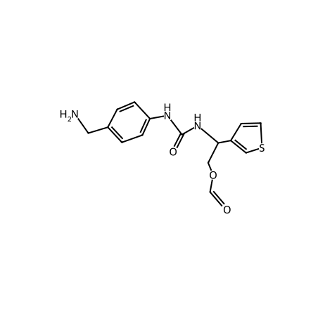 NCc1ccc(NC(=O)NC(COC=O)c2ccsc2)cc1